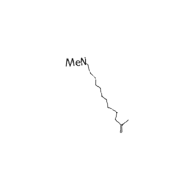 C=C(C)CCCCCCCCCCNC